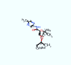 COCC(C)OCC(O[Si](C)(C)C(C)(C)C)C(=O)Nc1cnc(C)cn1